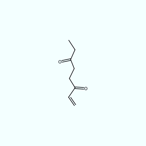 C=CC(=O)CCC(=O)CC